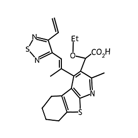 C=Cc1nsnc1/C=C(\C)c1c(C(OCC)C(=O)O)c(C)nc2sc3c(c12)CCCC3